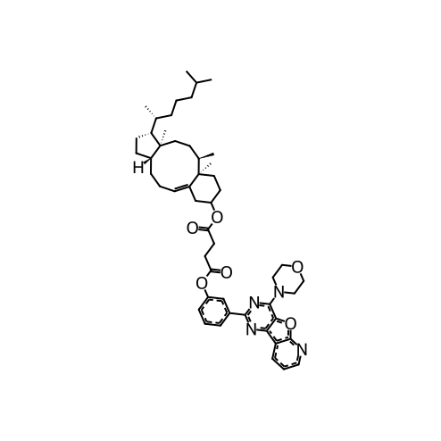 CC(C)CCC[C@@H](C)[C@H]1CC[C@H]2CC/C=C3/CC(OC(=O)CCC(=O)Oc4cccc(-c5nc(N6CCOCC6)c6oc7ncccc7c6n5)c4)CC[C@]3(C)[C@H](C)CC[C@@]21C